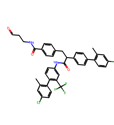 Cc1cc(Cl)ccc1-c1ccc(C(Cc2ccc(C(=O)NCCC=O)cc2)C(=O)Nc2ccc(-c3ccc(Cl)cc3C)c(C(F)(F)F)c2)cc1